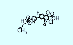 CCCCCNS(=O)(=O)c1ccc(-c2cc3c(cc2F)c(=O)c(C(=O)O)c(Cl)n3C2CC2)cn1